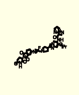 CC(C)Oc1cc2nc(C3CCN(CC4(F)CN(c5ccc6c(c5)C(=O)N(C5CCC(=O)NC5=O)C6=O)C4)CC3)cn2cc1NC(=O)c1cnn2cccnc12